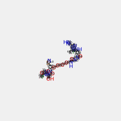 Cc1ncsc1-c1ccc(CNC(=O)[C@@H]2C[C@@H](O)CN2C(=O)[C@@H](NC(=O)C2(F)CC2)C(C)(C)C)c(OCCOCCOCCOCCNC(=O)CN2CCN(C(=O)c3ccc(Nc4nc(C5CC5)cn5c(-c6cn[nH]c6)cnc45)c(F)c3)CC2)c1